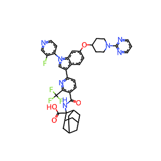 O=C(NC1(C(=O)O)C2CC3CC(C2)CC1C3)c1ccc(-c2cn(-c3ccncc3F)c3cc(OC4CCN(c5ncccn5)CC4)ccc23)nc1C(F)(F)F